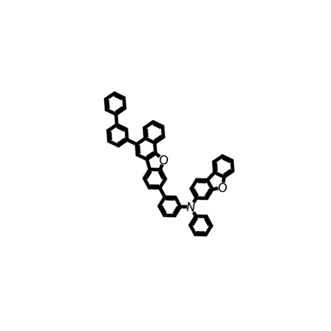 c1ccc(-c2cccc(-c3cc4c5ccc(-c6cccc(N(c7ccccc7)c7ccc8c(c7)oc7ccccc78)c6)cc5oc4c4ccccc34)c2)cc1